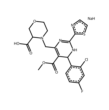 COC(=O)C1=C(CN2CCOCC2C(=O)O)N=C(c2nccs2)NC1c1ccc(F)cc1Cl.[NaH]